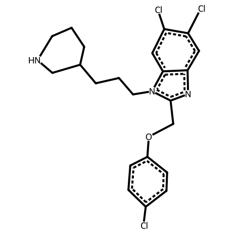 Clc1ccc(OCc2nc3cc(Cl)c(Cl)cc3n2CCCC2CCCNC2)cc1